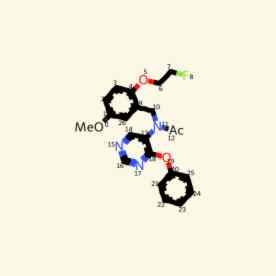 COc1ccc(OCCF)c(CN(C(C)=O)c2cncnc2Oc2ccccc2)c1